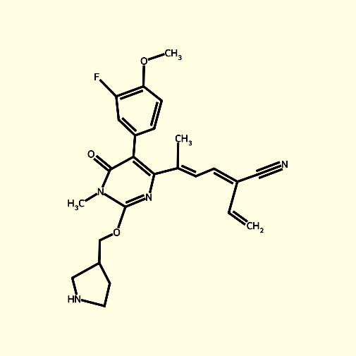 C=C/C(C#N)=C\C=C(/C)c1nc(OCC2CCNC2)n(C)c(=O)c1-c1ccc(OC)c(F)c1